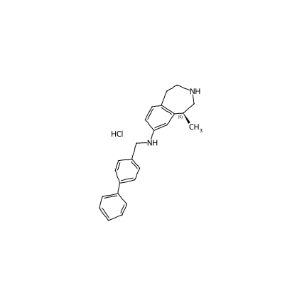 C[C@@H]1CNCCc2ccc(NCc3ccc(-c4ccccc4)cc3)cc21.Cl